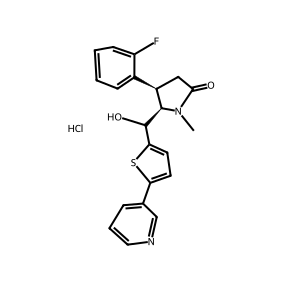 CN1C(=O)C[C@H](c2ccccc2F)[C@@H]1C(O)c1ccc(-c2cccnc2)s1.Cl